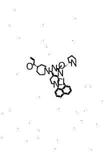 C=CC(=O)[C@@H]1CCCN(c2nc(OC[C@@H]3CCCN3C)nc3c2CCN(c2cccc4cccc(Cl)c24)C3)CC1